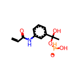 C=CC(=O)Nc1cccc(C(C)(O)O[PH](=O)O)c1